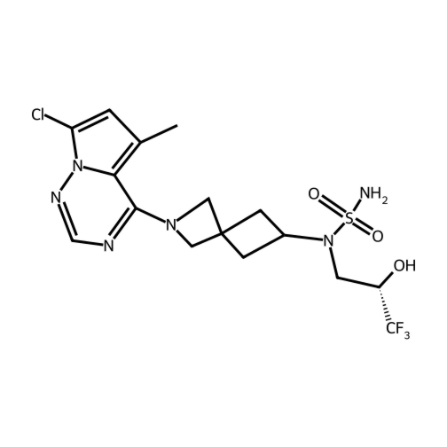 Cc1cc(Cl)n2ncnc(N3CC4(CC(N(C[C@H](O)C(F)(F)F)S(N)(=O)=O)C4)C3)c12